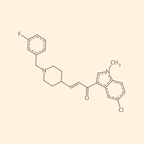 Cn1cc(C(=O)C=CC2CCN(Cc3cccc(F)c3)CC2)c2cc(Cl)ccc21